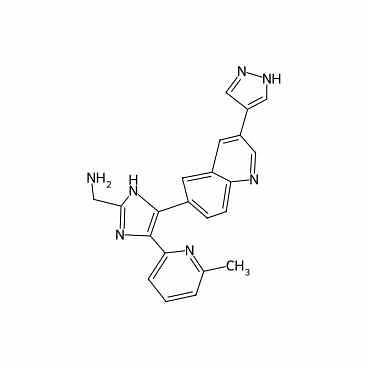 Cc1cccc(-c2nc(CN)[nH]c2-c2ccc3ncc(-c4cn[nH]c4)cc3c2)n1